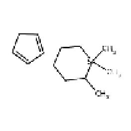 C1=CCC=C1.CC1CCCC[Si]1(C)C